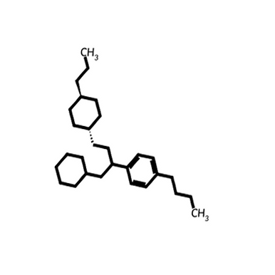 CCCCc1ccc(C(CC[C@H]2CC[C@H](CCC)CC2)CC2CCCCC2)cc1